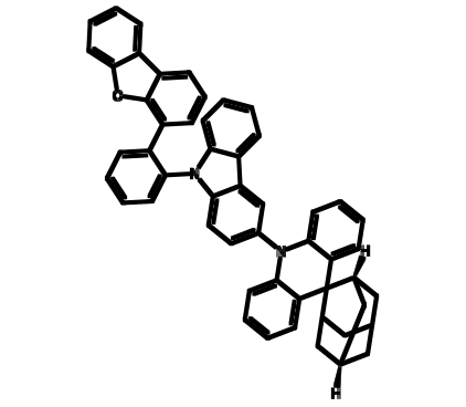 c1ccc(-n2c3ccccc3c3cc(N4c5ccccc5C5(c6ccccc64)C4CC6C[C@H](C4)C[C@H]5C6)ccc32)c(-c2cccc3c2oc2ccccc23)c1